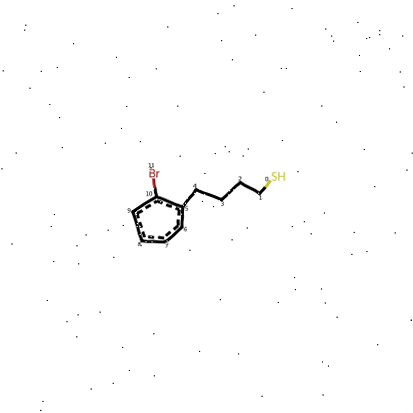 SCCCCc1ccccc1Br